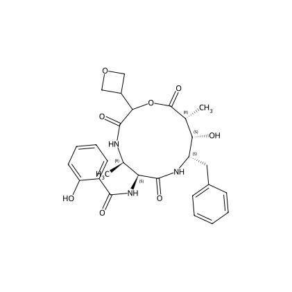 C[C@H]1NC(=O)C(C2COC2)OC(=O)[C@H](C)[C@H](O)[C@H](Cc2ccccc2)NC(=O)[C@H]1NC(=O)c1ccccc1O